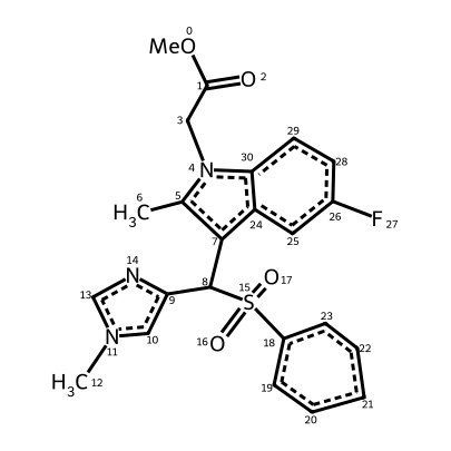 COC(=O)Cn1c(C)c(C(c2cn(C)cn2)S(=O)(=O)c2ccccc2)c2cc(F)ccc21